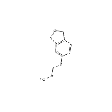 OOCOc1ccc2c(c1)COC2